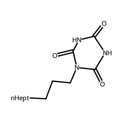 CCCCCCCCCCn1c(=O)[nH]c(=O)[nH]c1=O